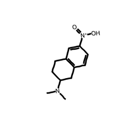 CN(C)C1CCc2cc([N+](=O)O)ccc2C1